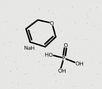 C1=CCOC=C1.O=P(O)(O)O.[NaH]